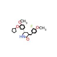 COc1ccc(/C=C2\C[C@@H](c3ccc(OC)c(OC4CCCC4)c3)CNC2=O)cc1F